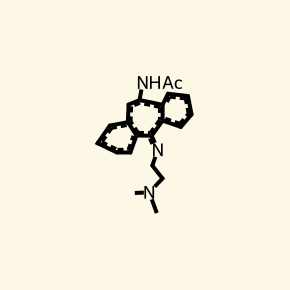 CC(=O)Nc1cc2ccccc2c(=NCCN(C)C)c2ccccc12